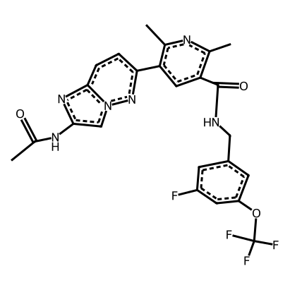 CC(=O)Nc1cn2nc(-c3cc(C(=O)NCc4cc(F)cc(OC(F)(F)F)c4)c(C)nc3C)ccc2n1